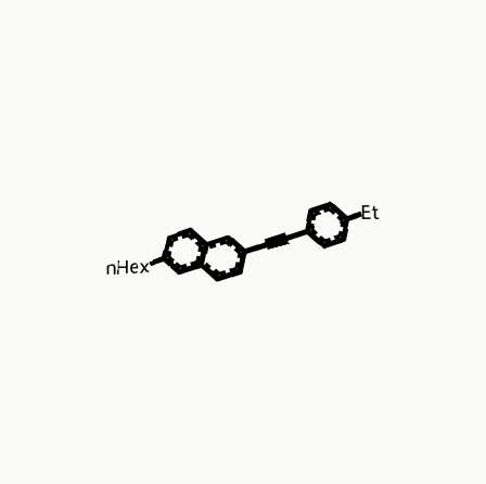 CCCCCCc1ccc2cc(C#Cc3ccc(CC)cc3)ccc2c1